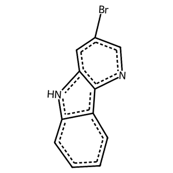 Brc1cnc2c(c1)[nH]c1ccccc12